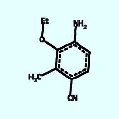 CCOc1c(N)ccc(C#N)c1C